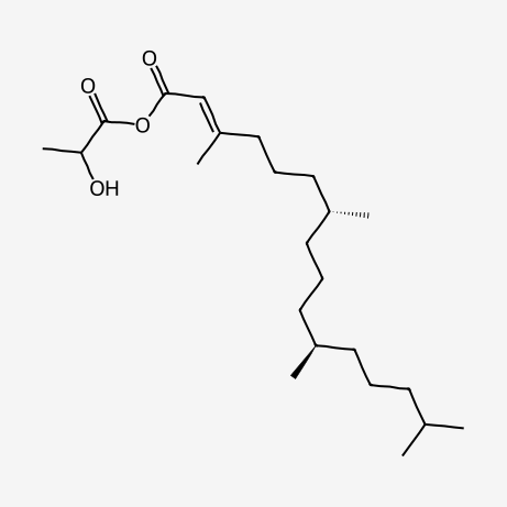 C/C(=C\C(=O)OC(=O)C(C)O)CCC[C@H](C)CCC[C@H](C)CCCC(C)C